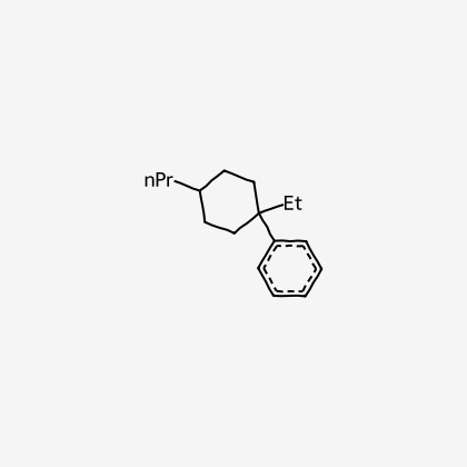 CCCC1CCC(CC)(c2ccccc2)CC1